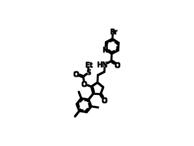 CCSC(=O)OC1=C(c2c(C)cc(C)cc2C)C(=O)CC1CCNC(=O)c1ccc(Br)cn1